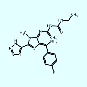 C=C(/N=C1\C(=C(/N)c2ccc(F)cc2)N=C(c2nnn[nH]2)N1C)NC(=O)NCC